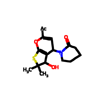 CC(=O)C1=CC(N2CCCCC2=O)C2=C(O1)SC(C)(C)C2O